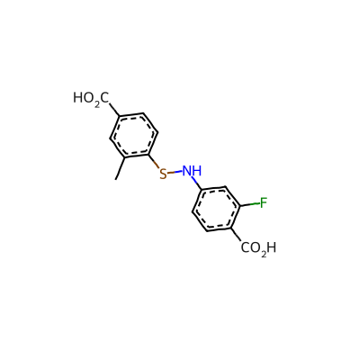 Cc1cc(C(=O)O)ccc1SNc1ccc(C(=O)O)c(F)c1